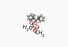 COC(=O)C(C)C(=O)OC(C1CC2CCC1C2)C1CC2CCC1C2